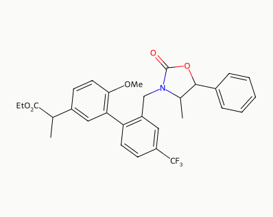 CCOC(=O)C(C)c1ccc(OC)c(-c2ccc(C(F)(F)F)cc2CN2C(=O)OC(c3ccccc3)C2C)c1